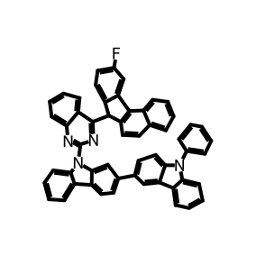 Fc1ccc2c(c1)-c1c(ccc3ccccc13)C2c1nc(-n2c3ccccc3c3ccc(-c4ccc5c(c4)c4ccccc4n5-c4ccccc4)cc32)nc2ccccc12